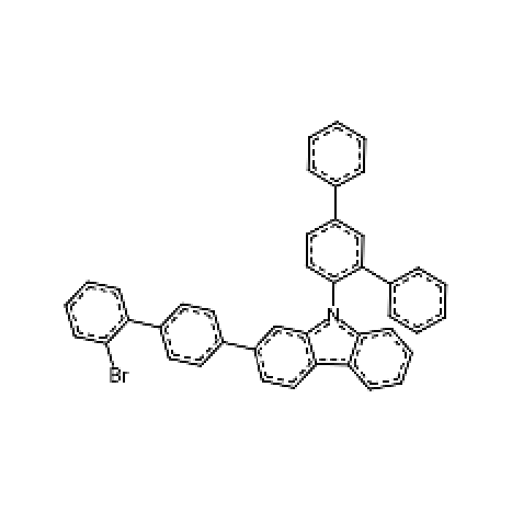 Brc1ccccc1-c1ccc(-c2ccc3c4ccccc4n(-c4ccc(-c5ccccc5)cc4-c4ccccc4)c3c2)cc1